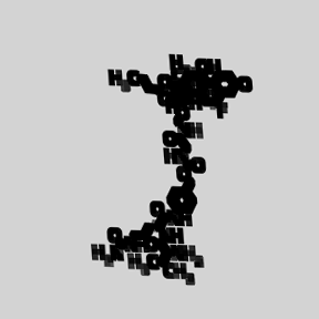 CCCC1O[C@@H]2C[C@H]3[C@@H]4C[C@H](F)C5=CC(=O)C=C[C@]5(C)[C@@]4(F)[C@@H](O)C[C@]3(C)[C@]2(C(=O)COCNC(=O)CNC(=O)OCc2ccc(NC(=O)[C@H](CCCNC(N)=O)NC(=O)[C@@H](N)C(C)C)cc2)O1